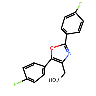 O=C(O)Cc1nc(-c2ccc(F)cc2)oc1-c1ccc(F)cc1